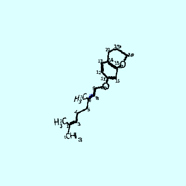 CC(C)=CCC/C(C)=C/COc1ccc2c(c1)OCCC2